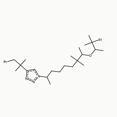 CCC(C)(C)C(C)OC(C)C(C)(C)CCCCC(C)n1cc(C(C)(C)CC(C)C)nn1